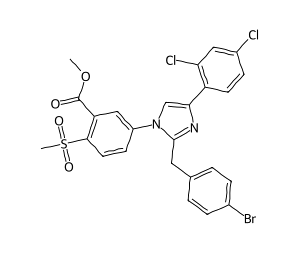 COC(=O)c1cc(-n2cc(-c3ccc(Cl)cc3Cl)nc2Cc2ccc(Br)cc2)ccc1S(C)(=O)=O